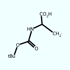 [CH2]C(NC(=O)OC(C)(C)C)C(=O)O